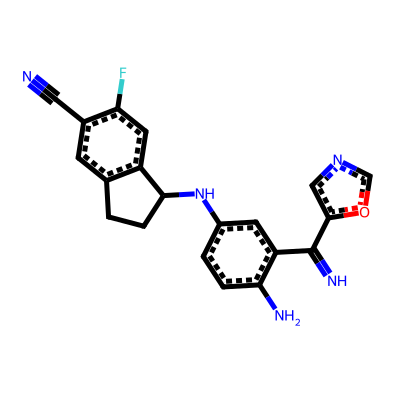 N#Cc1cc2c(cc1F)C(Nc1ccc(N)c(C(=N)c3cnco3)c1)CC2